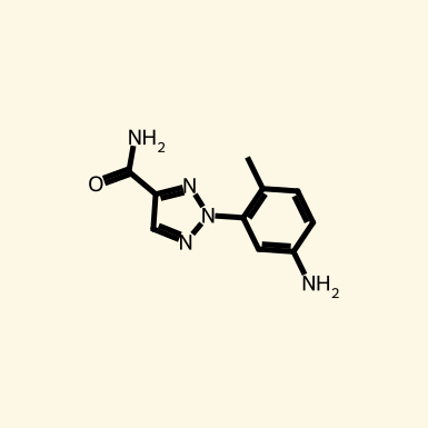 Cc1ccc(N)cc1-n1ncc(C(N)=O)n1